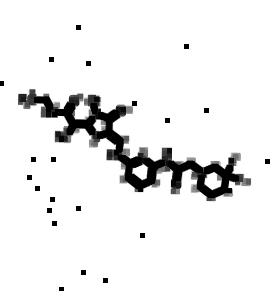 CCn1c(=C(C#N)C(=O)NCC(F)(F)F)sc(=CNc2cccc(NC(=O)CN3CCCC(F)(F)C3)n2)c1=O